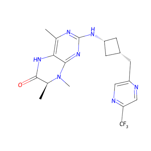 Cc1nc(N[C@H]2C[C@@H](Cc3cnc(C(F)(F)F)cn3)C2)nc2c1NC(=O)[C@H](C)N2C